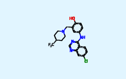 Oc1ccc(Nc2ncnc3cc(Cl)ccc23)cc1CN1CCC(C(F)(F)F)CC1